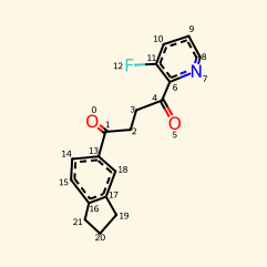 O=C(CCC(=O)c1ncccc1F)c1ccc2c(c1)CCC2